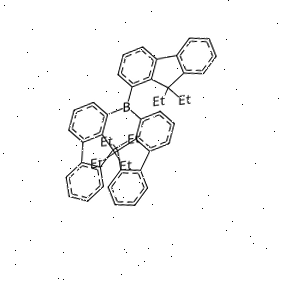 CCC1(CC)c2ccccc2-c2cccc(B(c3cccc4c3C(CC)(CC)c3ccccc3-4)c3cccc4c3C(CC)(CC)c3ccccc3-4)c21